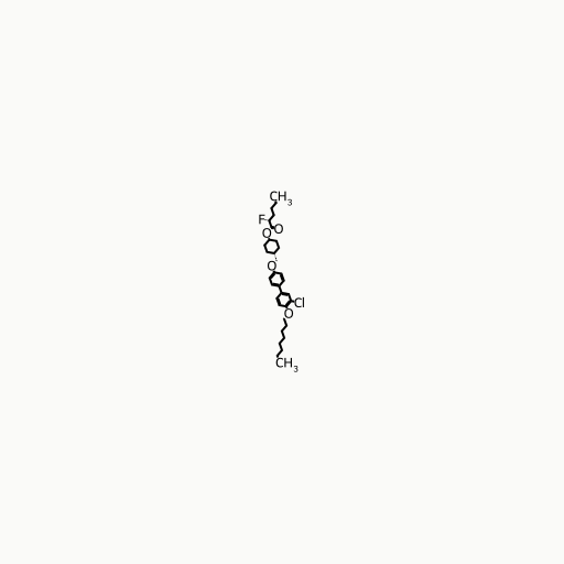 CCCCCCCCOc1ccc(-c2ccc(OC[C@H]3CC[C@H](OC(=O)[C@H](F)CCCC)CC3)cc2)cc1Cl